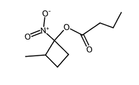 CCCC(=O)OC1([N+](=O)[O-])CCC1C